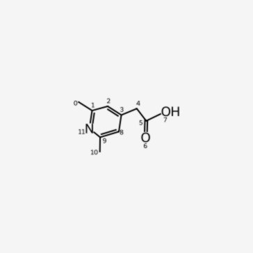 Cc1cc(CC(=O)O)cc(C)n1